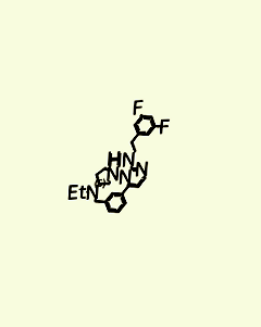 CCN(Cc1cccc(-c2ccnc(NCCc3cc(F)cc(F)c3)n2)c1)[C@H]1CCNC1